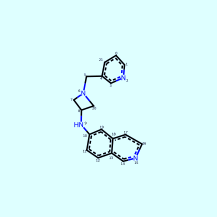 c1cncc(CN2CC(Nc3ccc4cnccc4c3)C2)c1